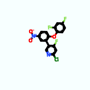 O=[N+]([O-])c1ccc(Oc2ccc(F)cc2F)c(-c2cnc(Cl)cc2F)c1